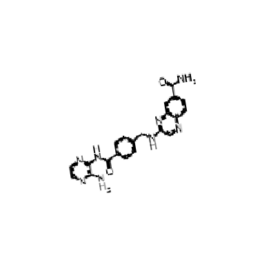 NC(=O)c1ccc2ncc(NCc3ccc(C(=O)Nc4nccnc4N)cc3)nc2c1